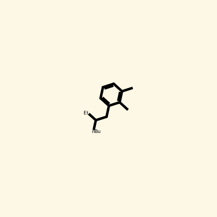 CCCCC(CC)Cc1cccc(C)c1C